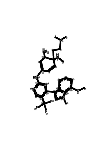 CNC1(CCN(C)C)C=CC(Nc2ncc(C(F)(F)F)c(-c3cn(C)c4c(OC)cccc34)n2)=CC1N